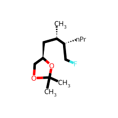 CCC[C@H](CF)[C@@H](C)C[C@@H]1COC(C)(C)O1